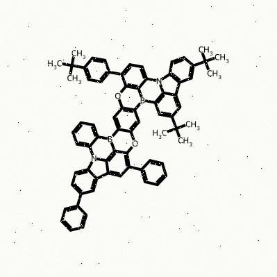 CC(C)(C)c1ccc(-c2ccc3c4c2Oc2cc5c(cc2B4c2cc(C(C)(C)C)cc4c6cc(C(C)(C)C)ccc6n-3c24)Oc2c(-c3ccccc3)cc3c4cc(-c6ccccc6)ccc4n4c3c2B5c2ccccc2-4)cc1